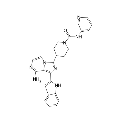 Nc1nccn2c(C3CCN(C(=O)Nc4cccnc4)CC3)nc(-c3cc4ccccc4[nH]3)c12